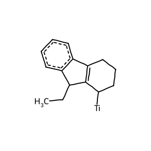 CCC1C2=C(CCC[CH]2[Ti])c2ccccc21